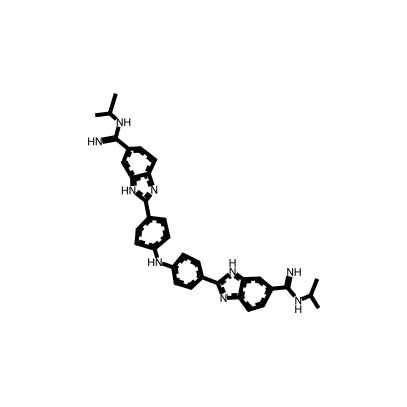 CC(C)NC(=N)c1ccc2nc(-c3ccc(Nc4ccc(-c5nc6ccc(C(=N)NC(C)C)cc6[nH]5)cc4)cc3)[nH]c2c1